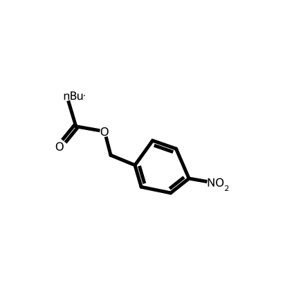 CCC[CH]C(=O)OCc1ccc([N+](=O)[O-])cc1